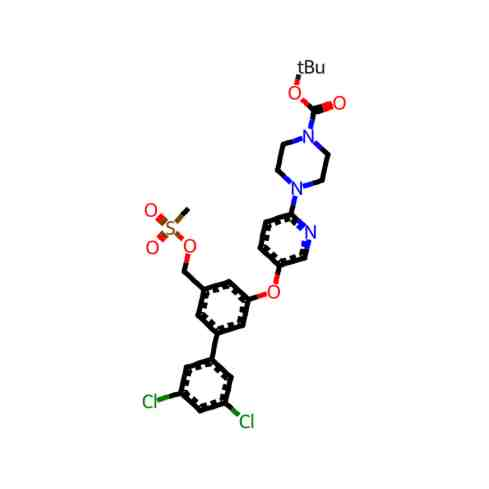 CC(C)(C)OC(=O)N1CCN(c2ccc(Oc3cc(COS(C)(=O)=O)cc(-c4cc(Cl)cc(Cl)c4)c3)cn2)CC1